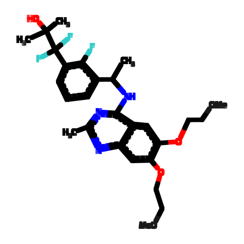 COCCOc1cc2nc(C)nc(NC(C)c3cccc(C(F)(F)C(C)(C)O)c3F)c2cc1OCCOC